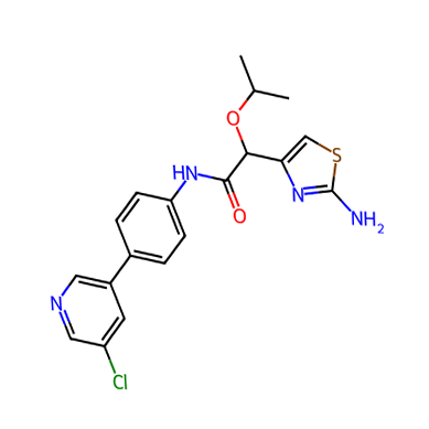 CC(C)OC(C(=O)Nc1ccc(-c2cncc(Cl)c2)cc1)c1csc(N)n1